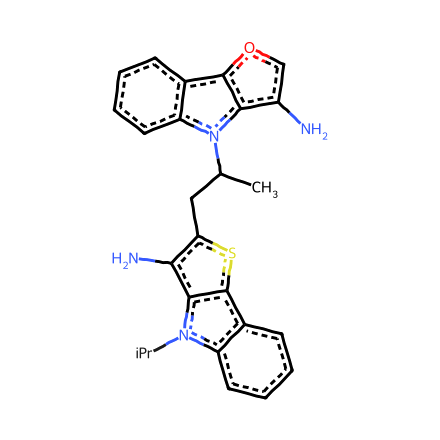 CC(C)n1c2ccccc2c2sc(CC(C)n3c4ccccc4c4occ(N)c43)c(N)c21